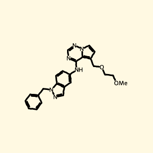 COCCOCc1ccn2ncnc(Nc3ccc4c(cnn4Cc4ccccc4)c3)c12